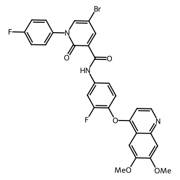 COc1cc2nccc(Oc3ccc(NC(=O)c4cc(Br)cn(-c5ccc(F)cc5)c4=O)cc3F)c2cc1OC